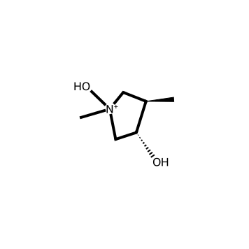 C[C@@H]1C[N+](C)(O)C[C@H]1O